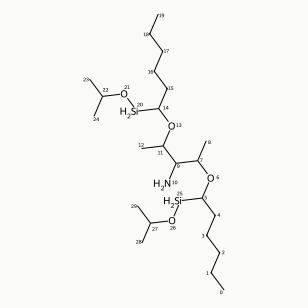 CCCCCC(OC(C)C(N)C(C)OC(CCCCC)[SiH2]OC(C)C)[SiH2]OC(C)C